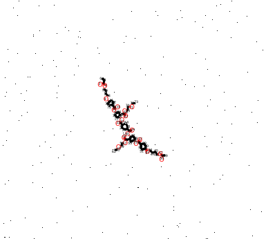 C=CC(=O)OCCCCOc1ccc(C(=O)Oc2ccc(OC(=O)C3CCC(C(=O)Oc4ccc(OC(=O)c5ccc(OCCCCOC(C)=O)cc5)cc4C(=O)OCCOCC)CC3)c(C(=O)OCCOCC)c2)cc1